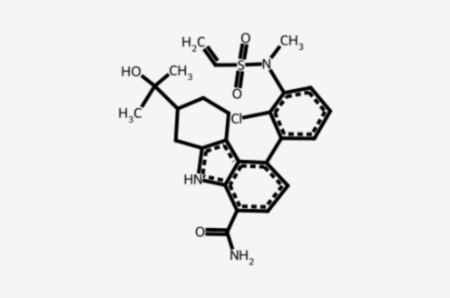 C=CS(=O)(=O)N(C)c1cccc(-c2ccc(C(N)=O)c3[nH]c4c(c23)CCC(C(C)(C)O)C4)c1Cl